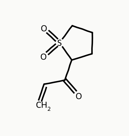 C=CC(=O)C1CCCS1(=O)=O